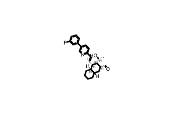 C[C@@H](O)[C@H]1[C@@H](/C=C/c2ccc(-c3cccc(F)c3)cn2)[C@@H]2CCCC[C@H]2C[C@H]1C=O